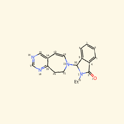 CCN1C(=O)c2ccccc2C1N1C=Cc2cncnc2CC1